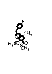 COC(=O)c1cc(C)c2cc(Cc3ccc(F)cc3)cnc2c1OC